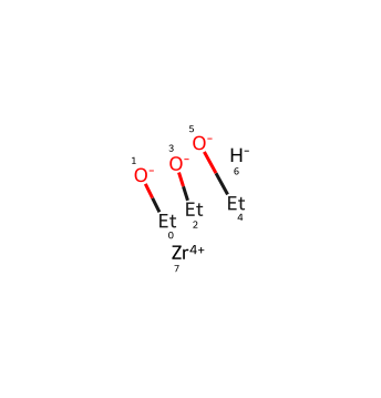 CC[O-].CC[O-].CC[O-].[H-].[Zr+4]